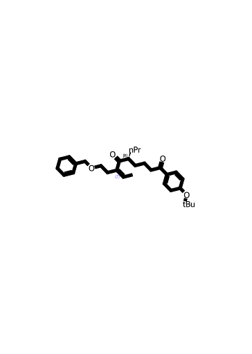 C/C=C(/CCOCC1=CCCC=C1)C(=O)[C@H](CCC)CCCC(=O)C1=CCC(OC(C)(C)C)C=C1